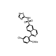 COc1ccc(Cl)cc1-c1nccc2cc(S(=O)(=O)Nc3ncns3)ccc12